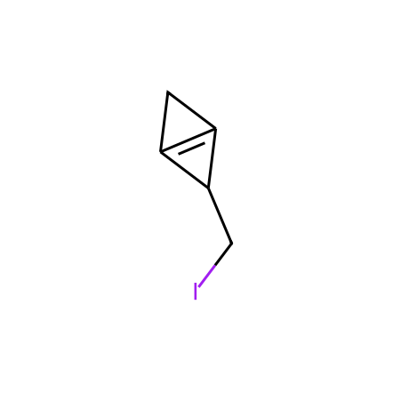 ICC1C2=C1C2